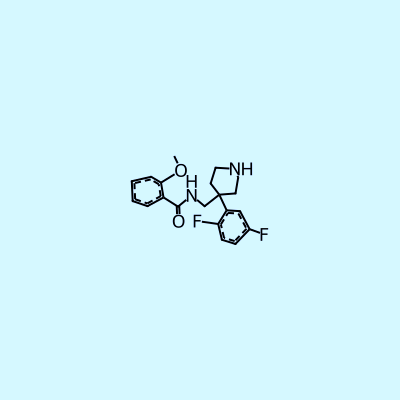 COc1ccccc1C(=O)NCC1(c2cc(F)ccc2F)CCNCC1